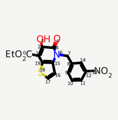 CCOC(=O)c1c(O)c(=O)n(Cc2cccc([N+](=O)[O-])c2)c2ccsc12